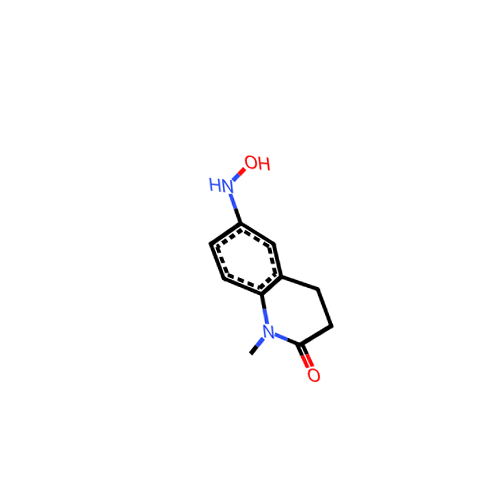 CN1C(=O)CCc2cc(NO)ccc21